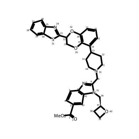 COC(=O)c1ccc2nc(CN3CCC(c4cccc5c4OCC(c4nc6ccccc6s4)O5)CC3)n(C[C@@H]3CCO3)c2c1